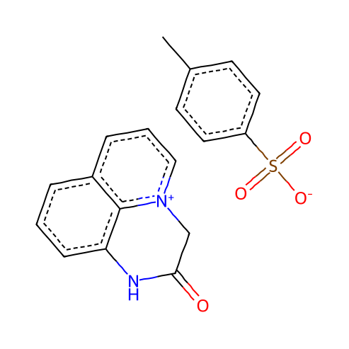 Cc1ccc(S(=O)(=O)[O-])cc1.O=C1C[n+]2cccc3cccc(c32)N1